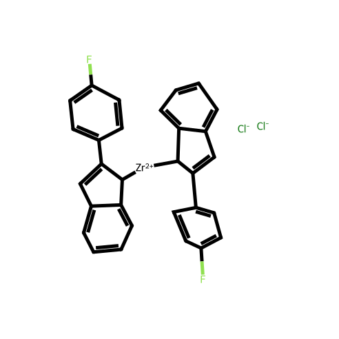 Fc1ccc(C2=Cc3ccccc3[CH]2[Zr+2][CH]2C(c3ccc(F)cc3)=Cc3ccccc32)cc1.[Cl-].[Cl-]